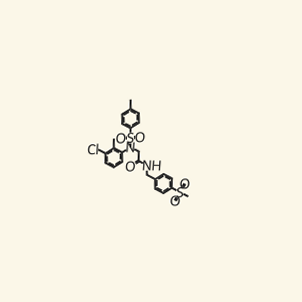 Cc1ccc(S(=O)(=O)N(CC(=O)NCc2ccc(S(C)(=O)=O)cc2)c2cccc(Cl)c2C)cc1